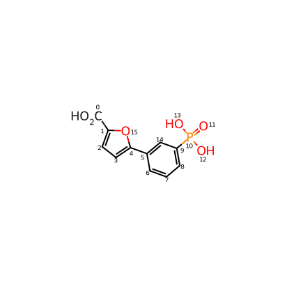 O=C(O)c1ccc(-c2cccc(P(=O)(O)O)c2)o1